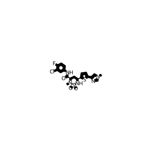 CN1[C@@H](C(=O)Nc2ccc(F)c(Cl)c2)C[C@@H](c2ccc(-c3cn(C)cn3)s2)NS1(=O)=O